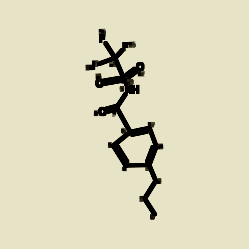 CCCc1ccc(C(=O)NS(=O)(=O)C(F)(F)F)cc1